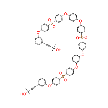 CC(C)(O)C#Cc1cccc(Oc2ccc(S(=O)(=O)c3ccc(Oc4ccc(Oc5ccc(S(=O)(=O)c6ccc(Oc7cccc(Oc8ccc(S(=O)(=O)c9ccc(Oc%10cccc(C#CC(C)(C)O)c%10)cc9)cc8)c7)cc6)cc5)cc4)cc3)cc2)c1